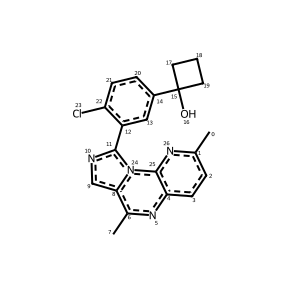 Cc1ccc2nc(C)c3cnc(-c4cc(C5(O)CCC5)ccc4Cl)n3c2n1